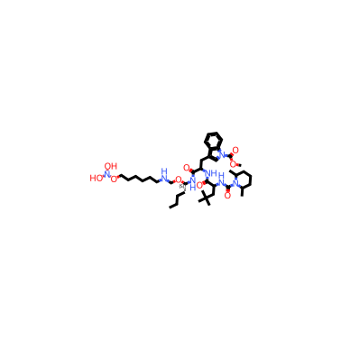 CCCC[C@@H](NC(=O)C(Cc1cn(C(=O)OC)c2ccccc12)NC(=O)C(CC(C)(C)C)NC(=O)N1C(C)CCCC1C)OCNCCCCCCON(O)O